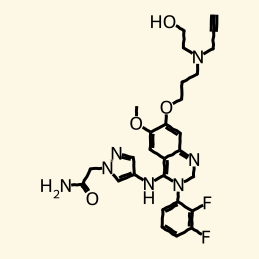 C#CCN(CCO)CCCOc1cc2c(cc1OC)=C(Nc1cnn(CC(N)=O)c1)N(c1cccc(F)c1F)CN=2